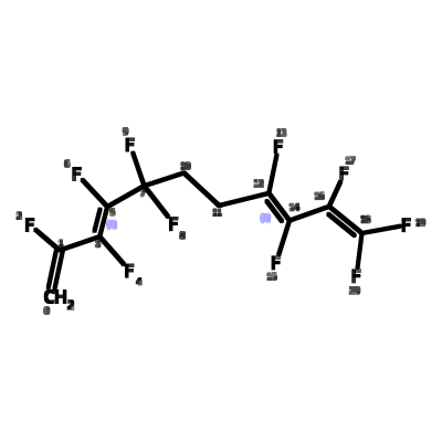 C=C(F)/C(F)=C(\F)C(F)(F)CC/C(F)=C(\F)C(F)=C(F)F